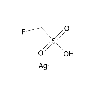 O=S(=O)(O)CF.[Ag]